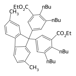 CCCCc1cc(C2(c3cc(CCCC)c(CCCC)c(C(=O)OCC)c3)c3cc(C)ccc3-c3ccc(C)cc32)cc(C(=O)OCC)c1CCCC